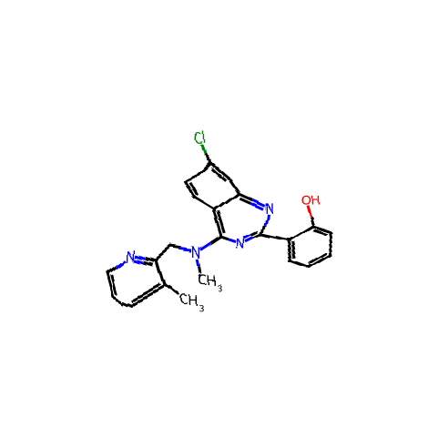 Cc1cccnc1CN(C)c1nc(-c2ccccc2O)nc2cc(Cl)ccc12